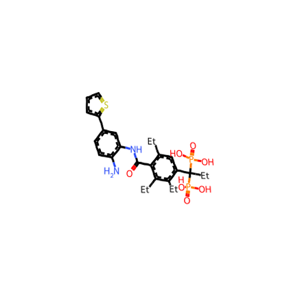 CCc1cc(C(CC)(P(=O)(O)O)P(=O)(O)O)c(CC)c(CC)c1C(=O)Nc1cc(-c2cccs2)ccc1N